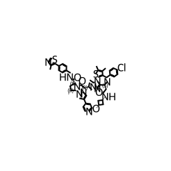 Cc1ncsc1-c1ccc(CNC(=O)[C@@H]2C[C@@H](C)CN2C(=O)[C@@H](C(C)C)n2cc(-c3ccnc(O[C@H]4C[C@@H](NC(=O)C[C@@H]5N=C(c6ccc(Cl)cc6)c6c(sc(C)c6C)-n6c(C)nnc65)C4)c3)cn2)cc1